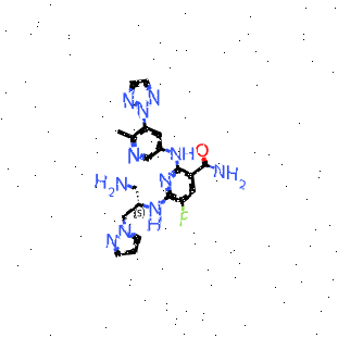 Cc1ncc(Nc2nc(N[C@@H](CN)Cn3cccn3)c(F)cc2C(N)=O)cc1-n1nccn1